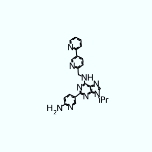 CC(C)n1cnc2c(NCc3ccc(-c4ccccn4)cn3)nc(-c3ccc(N)nc3)nc21